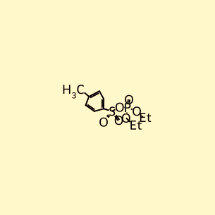 CCOP(=O)(OCC)OS(=O)(=O)c1ccc(C)cc1